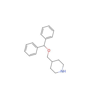 c1ccc(C(OCC2CCNCC2)c2ccccc2)cc1